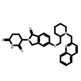 O=C1CCC(N2Cc3cc(OCC4CCCCN4Cc4ccc5ccccc5n4)ccc3C2=O)C(=O)N1